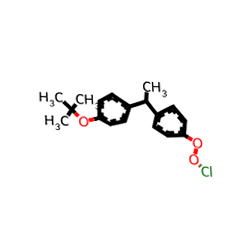 CC(c1ccc(OOCl)cc1)c1ccc(OC(C)(C)C)cc1